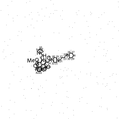 COC(=O)C1=C(CCc2nccs2)NC(CC(=O)N2CCN(CCCCN3CCCCC3)CC2)=C(C(=O)OC)C1c1c(Cl)cccc1Cl